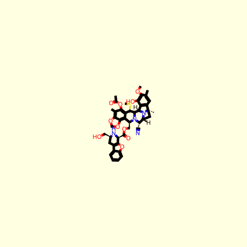 COc1c(C)cc2c(c1O)[C@@H]1C3[C@H](SC)c4c(OC(C)=O)c(C)c5c(c4[C@H](COC(=O)[C@@H]4N[C@H](CO)Cc6c4oc4ccccc64)N3[C@@H](C#N)[C@H]3C[C@@]2(C)N13)OCO5